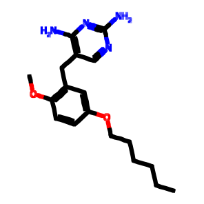 CCCCCCOc1ccc(OC)c(Cc2cnc(N)nc2N)c1